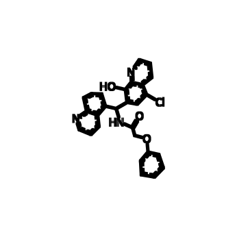 O=C(COc1ccccc1)NC(c1cc(Cl)c2cccnc2c1O)c1cccc2ncccc12